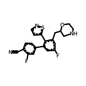 N#Cc1ccc(-c2cc(F)cc(CC3CNCCO3)c2-c2ccns2)cc1F